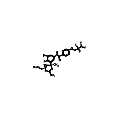 COC[C@]12CC1[C@@](C)(c1cc(NC(=O)c3ccc(OCC(F)(F)C(F)F)cn3)cc(F)c1F)N=C(N)S2